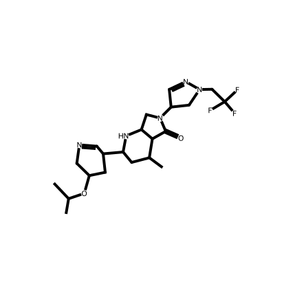 CC(C)OC1CN=CC(C2CC(C)C3C(=O)N(C4C=NN(CC(F)(F)F)C4)CC3N2)C1